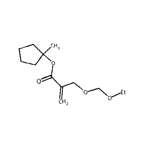 C=C(COCOCC)C(=O)OC1(C)CCCC1